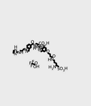 Cc1cc(OCCCC(=O)NCCC[C@@H](N)CS(=O)(=O)O)cc(C)c1S(=O)(=O)N[C@@H](CNC(=O)c1ccc2c(cnn2CCCNc2ncc[nH]2)c1)C(=O)O.O=C(O)C(F)(F)F